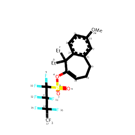 CCC1(CC)C(OS(=O)(=O)C(F)(F)C(F)(F)C(F)(F)C(F)(F)F)=CCCc2cc(OC)ccc21